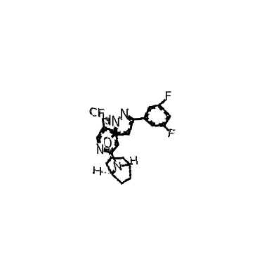 Fc1cc(F)cc(-c2cc(O[C@H]3C[C@H]4CC[C@@H](C3)N4c3ccc(C(F)(F)F)cn3)[nH]n2)c1